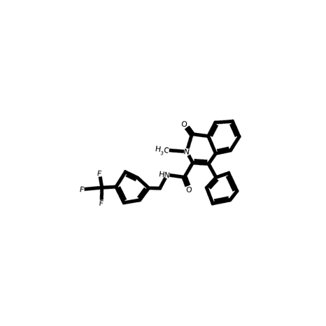 Cn1c(C(=O)NCc2ccc(C(F)(F)F)cc2)c(-c2ccccc2)c2ccccc2c1=O